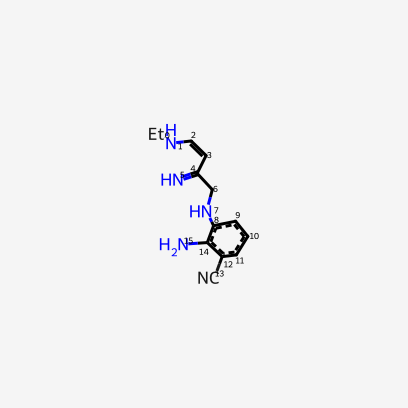 CCN/C=C\C(=N)CNc1cccc(C#N)c1N